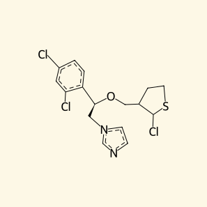 Clc1ccc([C@H](Cn2ccnc2)OCC2CCSC2Cl)c(Cl)c1